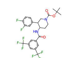 CC(C)(C)OC(=O)N1CCC(NC(=O)c2cc(C(F)(F)F)cc(C(F)(F)F)c2)C(c2ccc(F)c(F)c2)C1